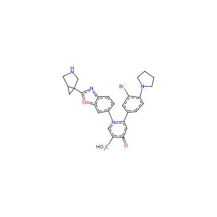 O=C(O)c1cn(-c2ccc3nc(C45CNCC4C5)oc3c2)c(-c2ccc(N3CCCC3)c(Br)c2)cc1=O